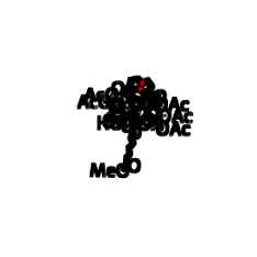 COC(=O)CCCCCO[C@H]1O[C@H](CO)[C@H](O[C@@H]2O[C@H](COC(C)=O)[C@@H](OC(C)=O)[C@H](OC(C)=O)[C@@H]2N2C(=O)c3ccccc3C2=O)[C@H](O[C@@H]2O[C@H](COC(C)=O)[C@@H](OC(C)=O)[C@H](OC(C)=O)[C@@H]2N2C(=O)c3ccccc3C2=O)[C@H]1O